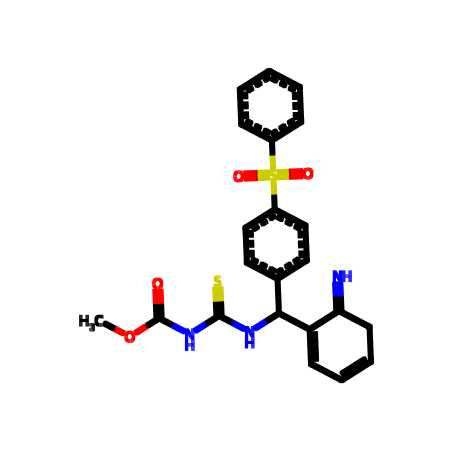 COC(=O)NC(=S)NC(C1=CC=CCC1=N)c1ccc(S(=O)(=O)c2ccccc2)cc1